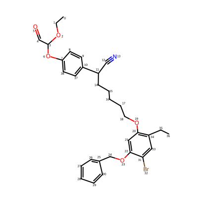 CCOC(C=O)Oc1ccc(C(C#N)CCCCCOc2cc(OCc3ccccc3)c(Br)cc2CC)cc1